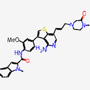 COc1cc(-c2csc3c(/C=C/CN4CCN(C)C(=O)C4)cnc(N)c23)ccc1NC(=O)c1cc2ccccc2n1C